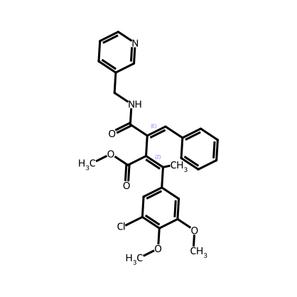 COC(=O)C(=C(/C)c1cc(Cl)c(OC)c(OC)c1)/C(=C\c1ccccc1)C(=O)NCc1cccnc1